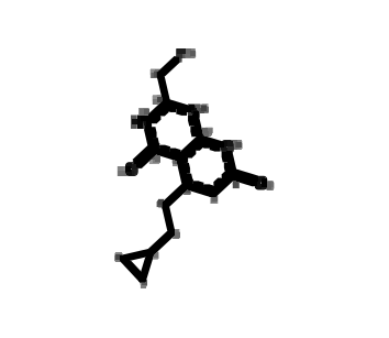 O=c1cc(CCC2CC2)c2c(=O)[nH]c(CF)nc2o1